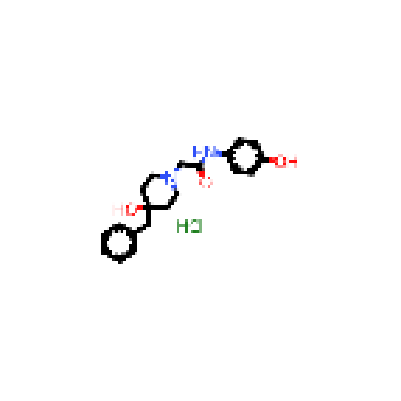 Cl.O=C(CN1CCC(O)(Cc2ccccc2)CC1)Nc1ccc(O)cc1